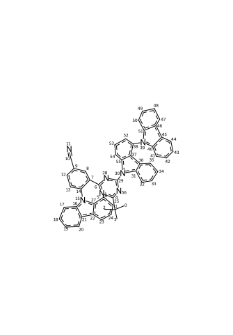 CC(C)(C)c1nc(-c2cc(C#N)ccc2-n2c3ccccc3c3ccccc32)nc(-n2c3ccccc3c3c(-n4c5ccccc5c5ccccc54)cccc32)n1